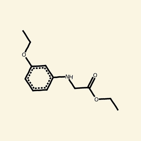 CCOC(=O)CNc1cccc(OCC)c1